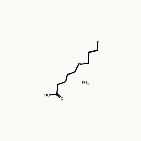 CCCCCCCCCC(=O)O.P